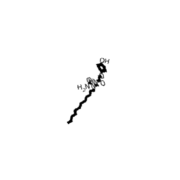 CCCCCCCCCCCCN(CNC(=O)COc1ccc(O)cc1)C(N)=O